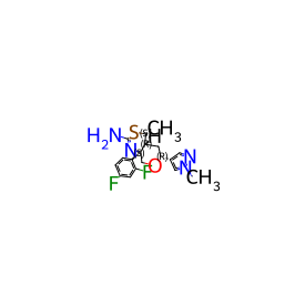 C[C@@H]1SC(N)=N[C@@]2(c3ccc(F)cc3F)CO[C@@H](c3cnn(C)c3)C[C@@H]12